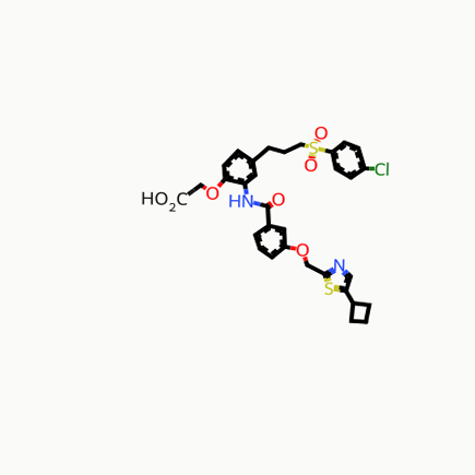 O=C(O)COc1ccc(CCCS(=O)(=O)c2ccc(Cl)cc2)cc1NC(=O)c1cccc(OCc2ncc(C3CCC3)s2)c1